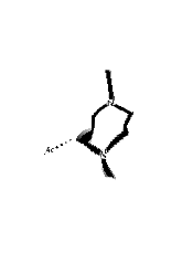 CC(=O)[C@@H]1CN(C)CCN1C